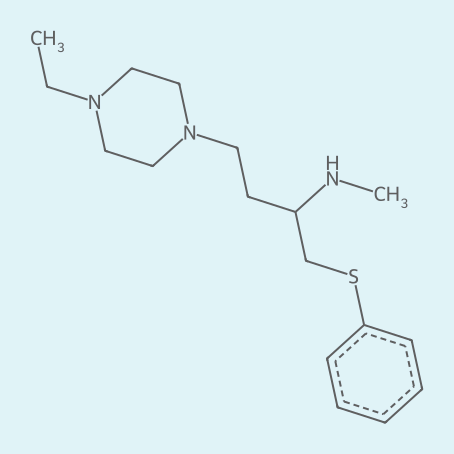 CCN1CCN(CCC(CSc2ccccc2)NC)CC1